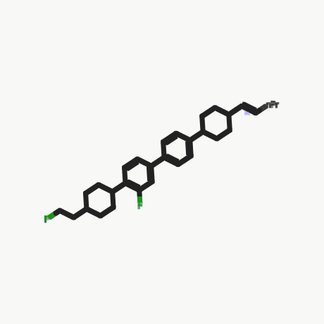 CCC/C=C/C1CCC(c2ccc(-c3ccc(C4CCC(CCF)CC4)c(F)c3)cc2)CC1